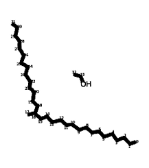 CCCCCCCCCCCCCCCCC(C)CCCCCCCCCCCCCC.CCO